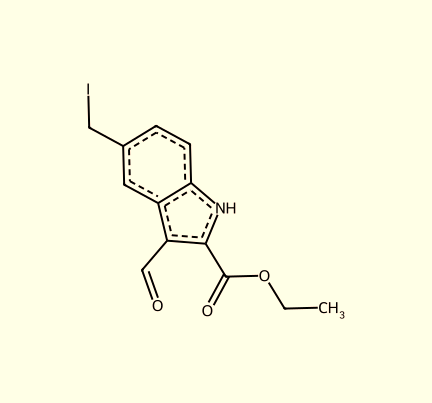 CCOC(=O)c1[nH]c2ccc(CI)cc2c1C=O